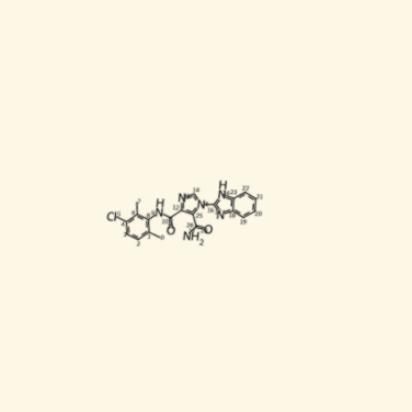 Cc1ccc(Cl)c(C)c1NC(=O)c1ncn(-c2nc3ccccc3[nH]2)c1C(N)=O